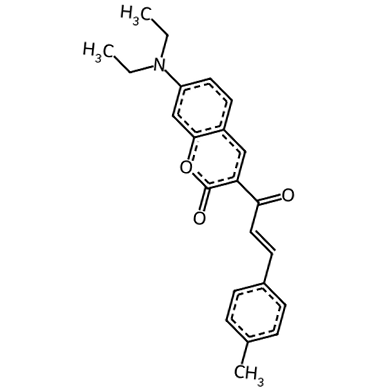 CCN(CC)c1ccc2cc(C(=O)C=Cc3ccc(C)cc3)c(=O)oc2c1